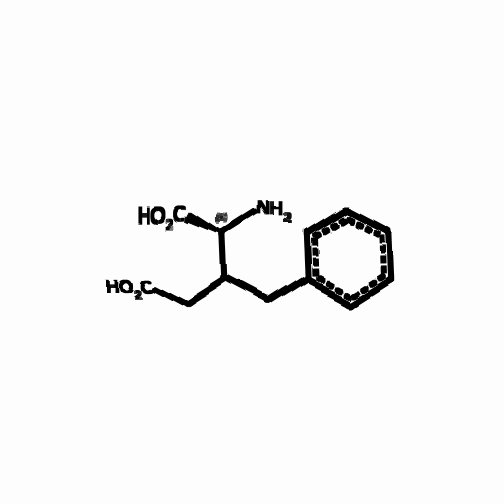 N[C@H](C(=O)O)C(CC(=O)O)Cc1ccccc1